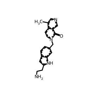 Cc1cncc2c(=O)n(Cc3ccc4cc(CCN)[nH]c4c3)ccc12